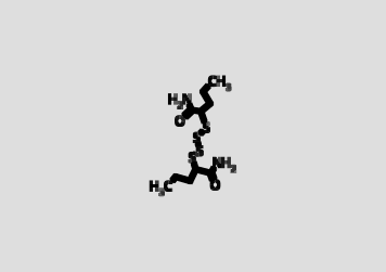 CCCC(SSSSC(CCC)C(N)=O)C(N)=O